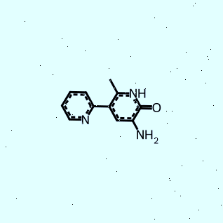 Cc1[nH]c(=O)c(N)cc1-c1ccccn1